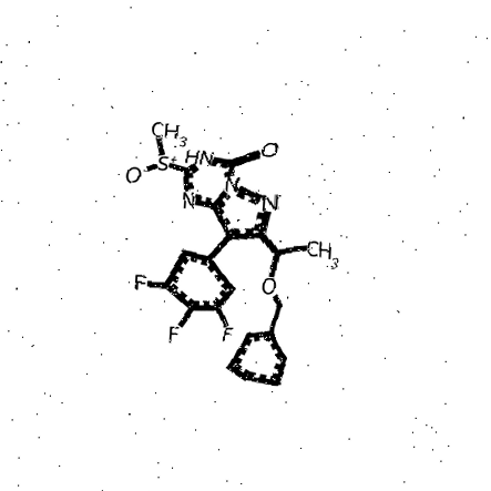 CC(OCc1ccccc1)c1nn2c(=O)[nH]c([S+](C)[O-])nc2c1-c1cc(F)c(F)c(F)c1